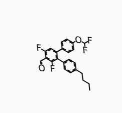 CCCCc1ccc(-c2c(-c3ccc(OC(F)F)cc3)cc(F)c(C=O)c2F)cc1